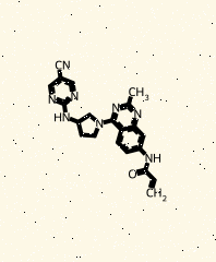 C=CC(=O)Nc1ccc2c(N3CCC(Nc4ncc(C#N)cn4)C3)nc(C)nc2c1